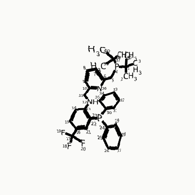 CC(C)(C)P(Cc1cccc(CNc2ccc(C(F)(F)F)cc2P(c2ccccc2)c2ccccc2)n1)C(C)(C)C